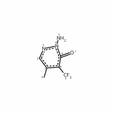 Cc1cnn(N)c(=O)c1C(F)(F)F